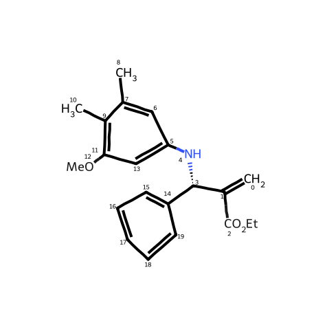 C=C(C(=O)OCC)[C@@H](Nc1cc(C)c(C)c(OC)c1)c1ccccc1